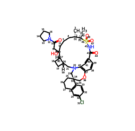 C[C@@H]1[C@@H](C)CCC[C@@](O)(CC(=O)N2CCCC2)[C@@H]2CC[C@H]2CN2C[C@@]3(CCCc4cc(Cl)ccc43)COc3ccc(cc32)C(=O)NS1(=O)=O